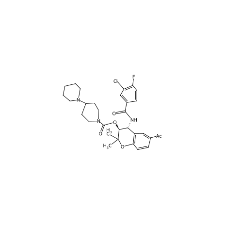 CC(=O)c1ccc2c(c1)[C@@H](NC(=O)c1ccc(F)c(Cl)c1)[C@H](OC(=O)N1CCC(N3CCCCC3)CC1)C(C)(C)O2